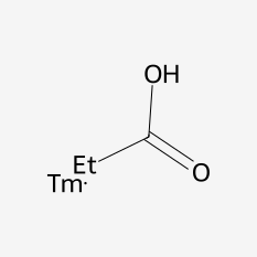 CCC(=O)O.[Tm]